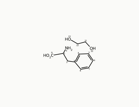 NC(Cc1ccccc1)C(=O)O.OCCO